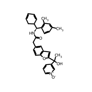 Cc1ccc([C@@H](NC(=O)Cc2ccc3oc(C(C)(O)c4ccc[n+]([O-])c4)cc3c2)C2C=CC=CC2)c(C)c1